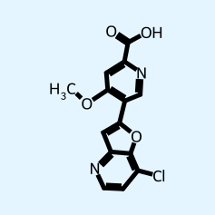 COc1cc(C(=O)O)ncc1-c1cc2nccc(Cl)c2o1